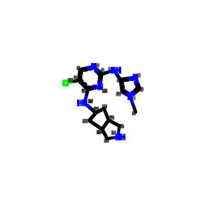 Cn1cnc(Nc2ncc(Cl)c(NC3CC4CNCC4C3)n2)c1